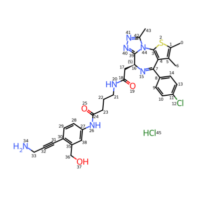 Cc1sc2c(c1C)C(c1ccc(Cl)cc1)=N[C@@H](CC(=O)NCCCC(=O)Nc1ccc(C#CCN)c(CO)c1)c1nnc(C)n1-2.Cl